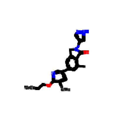 COCCOc1ncc(-c2cc(C)c3c(c2)CN(c2cn[nH]c2)C3=O)cc1OC